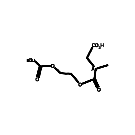 CCCCC(=O)OCCOC(=O)[As](C)CC(=O)O